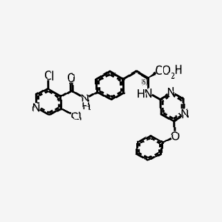 O=C(Nc1ccc(C[C@H](Nc2cc(Oc3ccccc3)ncn2)C(=O)O)cc1)c1c(Cl)cncc1Cl